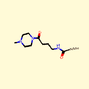 CNC(=O)NCCCC(=O)N1CCN(C)CC1